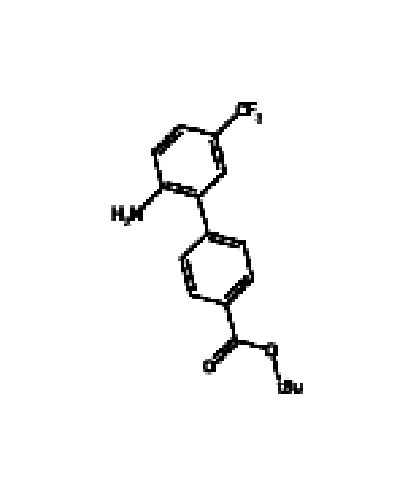 CC(C)(C)OC(=O)c1ccc(-c2cc(C(F)(F)F)ccc2N)cc1